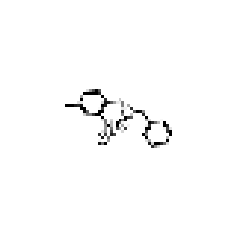 Cc1ccc(COCc2ccccc2)c([N+](=O)[O-])c1